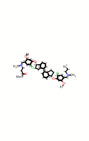 CCOc1cc(O[C@H]2CCc3c(-c4cccc5c4CC[C@@H]5Oc4cc(OCC)c(CN(C)CCC(=O)OC)cc4Cl)cccc32)c(Cl)cc1CN(C)CCC(C)=O